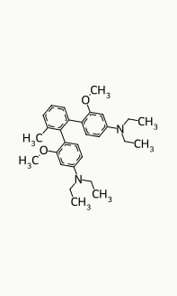 CCN(CC)c1ccc(-c2cccc(C)c2-c2ccc(N(CC)CC)cc2OC)c(OC)c1